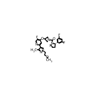 COCCn1cc(-c2cc(OC3CN(C(=O)N4N=CC[C@H]4c4cc(F)cc(F)c4)C3)c(F)cn2)c(C)n1